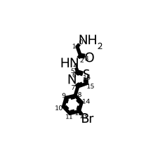 NCC(=O)Nc1nc(-c2cccc(Br)c2)cs1